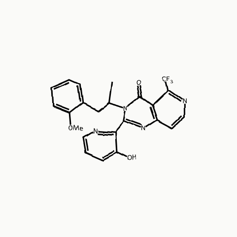 COc1ccccc1CC(C)n1c(-c2ncccc2O)nc2ccnc(C(F)(F)F)c2c1=O